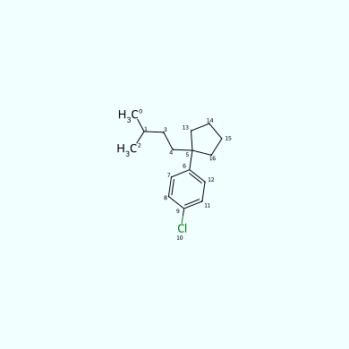 CC(C)CCC1(c2ccc(Cl)cc2)CCCC1